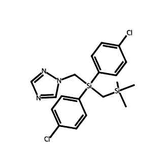 C[Si](C)(C)C[Si](Cn1cncn1)(c1ccc(Cl)cc1)c1ccc(Cl)cc1